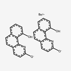 [Be+2].[O-]c1ccc2ccc3cccc(O)c3c2n1.[O-]c1ccc2ccc3cccc(O)c3c2n1